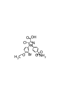 CCOc1ccc(-c2c(Cl)c(C(=O)O)nn2-c2ccc(S(N)(=O)=O)cc2)cc1Br